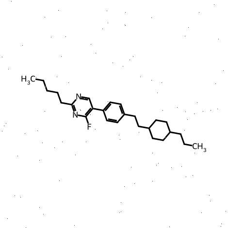 CCCCCc1ncc(-c2ccc(CCC3CCC(CCC)CC3)cc2)c(F)n1